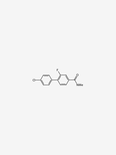 CNC(=O)c1ccc(-c2ccc(Cl)cc2)c(F)c1